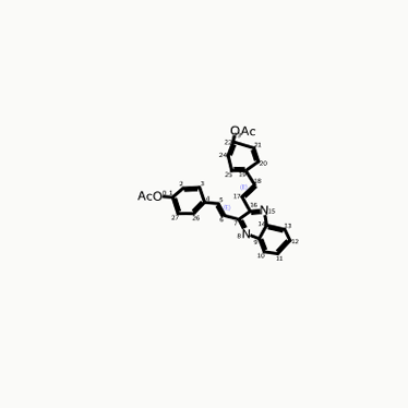 CC(=O)Oc1ccc(/C=C/c2nc3ccccc3nc2/C=C/c2ccc(OC(C)=O)cc2)cc1